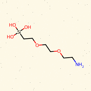 NCCOCCOCC[Si](O)(O)O